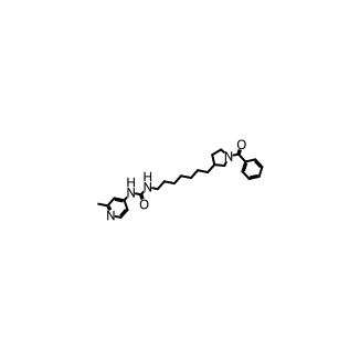 Cc1cc(NC(=O)NCCCCCCCC2CCN(C(=O)c3ccccc3)C2)ccn1